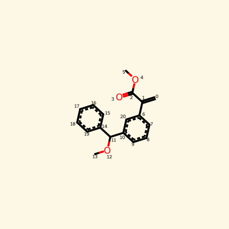 C=C(C(=O)OC)c1cccc(C(OC)c2ccccc2)c1